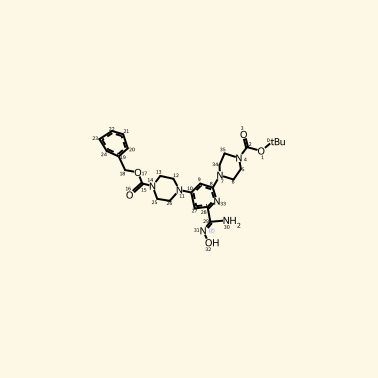 CC(C)(C)OC(=O)N1CCN(c2cc(N3CCN(C(=O)OCc4ccccc4)CC3)cc(/C(N)=N/O)n2)CC1